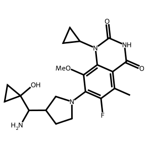 COc1c(N2CCC(C(N)C3(O)CC3)C2)c(F)c(C)c2c(=O)[nH]c(=O)n(C3CC3)c12